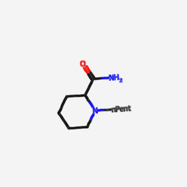 CCCCCN1CCCCC1C(N)=O